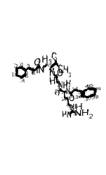 CC(C)[C@@H](CNC(=O)/C=C/c1ccccc1)NC(=O)CNC(=O)[C@H](CCCNC(=N)N)NC(=O)Cc1ccccc1